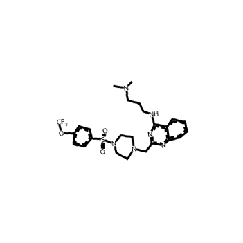 CN(C)CCCNc1nc(CN2CCN(S(=O)(=O)c3ccc(OC(F)(F)F)cc3)CC2)nc2ccccc12